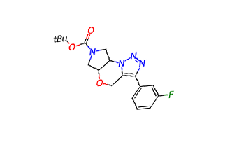 CC(C)(C)OC(=O)N1CC2OCc3c(-c4cccc(F)c4)nnn3C2C1